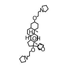 C[C@]12CCC(OCCN3CCCC3)CC1CC[C@@H]1[C@H]2CC[C@]2(C)C(OCCN3CCCC3)(c3ccoc3)CC[C@@]12O